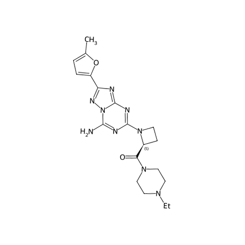 CCN1CCN(C(=O)[C@@H]2CCN2c2nc(N)n3nc(-c4ccc(C)o4)nc3n2)CC1